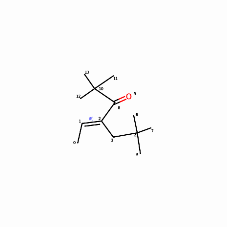 C/C=C(\CC(C)(C)C)C(=O)C(C)(C)C